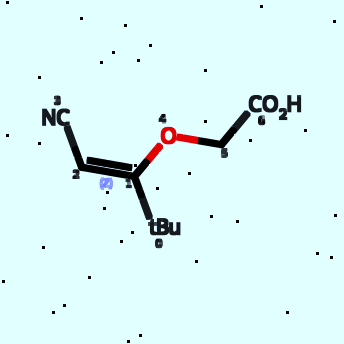 CC(C)(C)/C(=C/C#N)OCC(=O)O